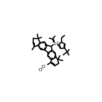 CCC1C=C(C(C)(C)C)C=[C]1[Zr+2](=[C](C)C)[CH]1c2cc3c(cc2-c2cc4c(cc21)C(C)(C)CC=C4C)C(C)=CCC3(C)C.[Cl-].[Cl-]